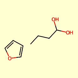 CCCC(O)O.c1ccoc1